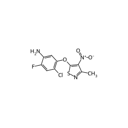 Cc1nsc(Oc2cc(N)c(F)cc2Cl)c1[N+](=O)[O-]